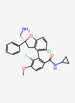 COc1ccc(C(=O)NC2CC2)c(-c2c(Cl)ccc3c2C[C@@](CN)(c2ccccc2)O3)c1F